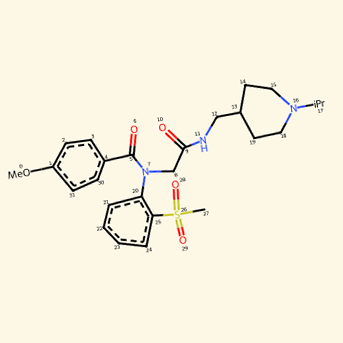 COc1ccc(C(=O)N(CC(=O)NCC2CCN(C(C)C)CC2)c2ccccc2S(C)(=O)=O)cc1